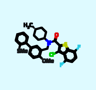 COc1ccc(-c2ccccc2SC)cc1CN(C(=O)c1sc2c(F)ccc(F)c2c1Cl)[C@H]1CC[C@H](C)CC1